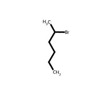 CCCCC(C)Br